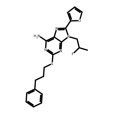 CC(F)Cn1c(-c2ccco2)nc2c(N)nc(SCCCc3ccccc3)nc21